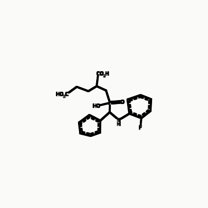 O=C(O)CCC(CP(=O)(O)C(Nc1ccccc1F)c1ccccc1)C(=O)O